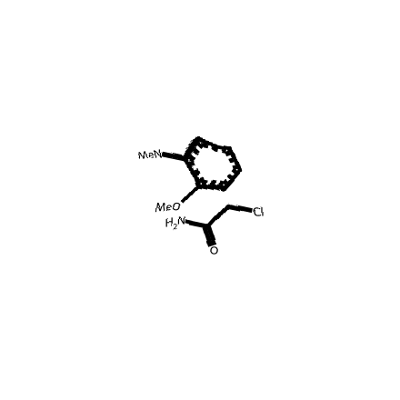 CNc1ccccc1OC.NC(=O)CCl